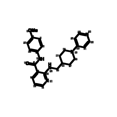 COc1ccc(NC(=O)c2cccnc2NCC2CCN(c3ccncc3)CC2)cc1